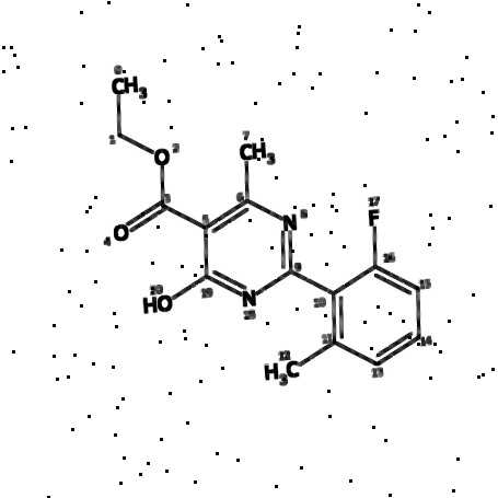 CCOC(=O)c1c(C)nc(-c2c(C)cccc2F)nc1O